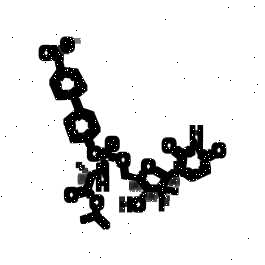 CC(C)OC(=O)[C@H](C)NP(=O)(OC[C@H]1O[C@@H](n2ccc(=O)[nH]c2=O)[C@](C)(F)[C@@H]1O)Oc1ccc(-c2ccc([N+](=O)[O-])cc2)cc1